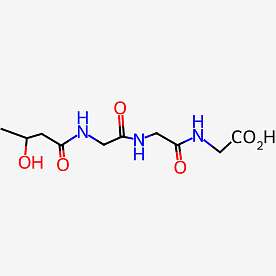 CC(O)CC(=O)NCC(=O)NCC(=O)NCC(=O)O